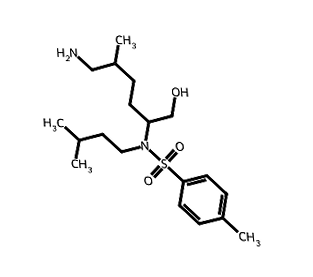 Cc1ccc(S(=O)(=O)N(CCC(C)C)C(CO)CCC(C)CN)cc1